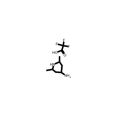 CC1CC(N)CC(C)N1.O=C(O)C(F)(F)F